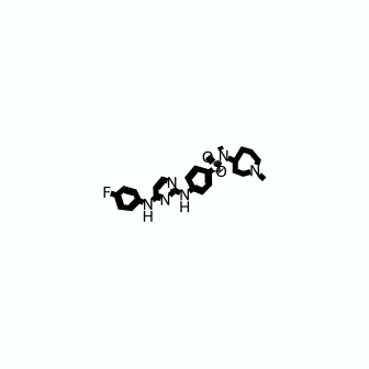 CN1CCCC(N(C)S(=O)(=O)c2ccc(Nc3nccc(Nc4ccc(F)cc4)n3)cc2)CC1